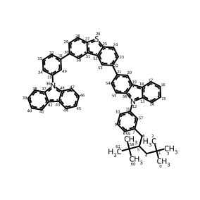 CC(C)(C)CC(Cc1cccc(-n2c3ccccc3c3cc(-c4ccc5sc6ccc(-c7cccc(-n8c9ccccc9c9ccccc98)c7)cc6c5c4)ccc32)c1)C(C)(C)C